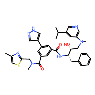 Cc1csc(CN(C)C(=O)c2cc(C(=O)N[C@@H](Cc3ccccc3)[C@H](O)CN(C)c3cncc(C(C)C)c3)cc(-c3cn[nH]c3)c2)n1